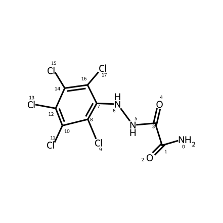 NC(=O)C(=O)NNc1c(Cl)c(Cl)c(Cl)c(Cl)c1Cl